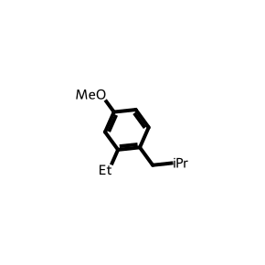 CCc1cc(OC)ccc1CC(C)C